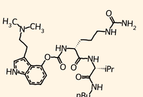 CCCCNC(=O)[C@H](NC(=O)[C@@H](CCCNC(N)=O)NC(=O)Oc1cccc2[nH]cc(CCN(C)C)c12)C(C)C